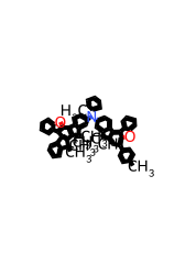 Cc1ccc(-c2cc3c(c4c2oc2ccccc24)-c2ccc(N(c4ccc5c(c4)C(C)(C)c4c6c(c7c(oc8ccccc87)c4-5)-c4ccccc4C6(C)C)c4ccccc4C)cc2C3(C)C)cc1